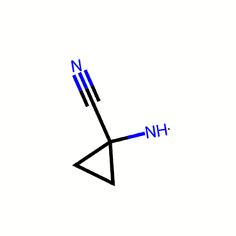 N#CC1([NH])CC1